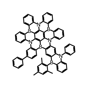 Cc1cc(C)c(B2c3ccccc3N(c3ccccc3)c3cc4c(cc32)B2c3ccc(-c5ccccc5)cc3N3c5ccccc5B5c6ccccc6N6c7ccccc7B7c8ccccc8N4c4c7c6c5c3c42)c(C)c1